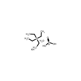 CCS(CC)(CC)CC.O.O=[PH](O)O.[KH]